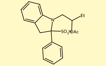 CCC(CN1c2ccccc2CC1(c1ccccc1)S(=O)(=O)O)OC(C)=O